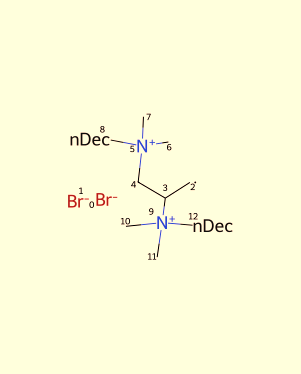 [Br-].[Br-].[CH2]C(C[N+](C)(C)CCCCCCCCCC)[N+](C)(C)CCCCCCCCCC